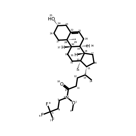 CON(CCC(F)(F)F)C(=O)CCC(C)[C@H]1CC[C@H]2[C@@H]3CC=C4C[C@@H](O)CC[C@]4(C)[C@H]3CC[C@]12C